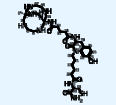 C[C@]12CNCCNC[C@](NC(=O)CCCC(=O)N[C@@H](Cc3ccc(O)cc3)C(=O)NCCCCCC(=O)N[C@@H](CS)C(N)=O)(CNCCNC1)NCCN2